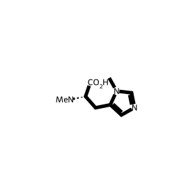 CN[C@@H](Cc1cncn1C)C(=O)O